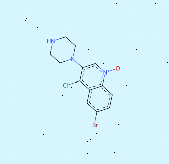 [O-][n+]1cc(N2CCNCC2)c(Cl)c2cc(Br)ccc21